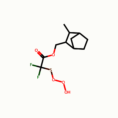 CC1C2CCC(C2)C1COC(=O)C(F)(F)SOOO